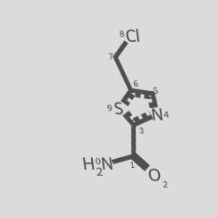 NC(=O)c1ncc(CCl)s1